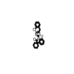 O=C(Nc1nnc(Cc2ccccc2Cl)s1)C1(c2cccc(F)c2)CCCCC1